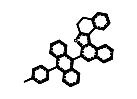 Cc1ccc(-c2c3ccccc3c(-c3cc4ccccc4c4c5c(oc34)CCc3ccccc3-5)c3ccccc23)cc1